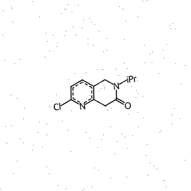 CC(C)N1Cc2ccc(Cl)nc2CC1=O